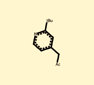 CC(=O)Cc1ccnc(C(C)(C)C)c1